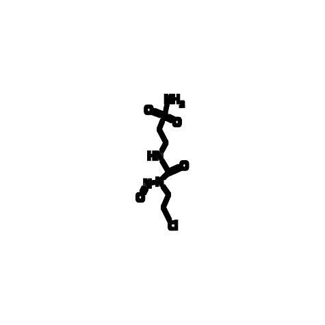 NS(=O)(=O)CCNC(=O)N(CCCl)N=O